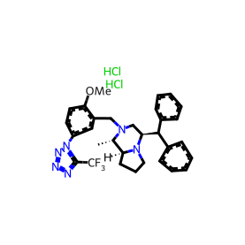 COc1ccc(-n2nnnc2C(F)(F)F)cc1CN1C[C@@H](C(c2ccccc2)c2ccccc2)N2CCC[C@H]2[C@@H]1C.Cl.Cl